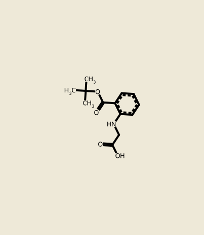 CC(C)(C)OC(=O)c1ccccc1NCC(=O)O